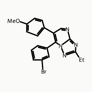 CCc1nc2ncc(-c3ccc(OC)cc3)c(-c3cccc(Br)c3)n2n1